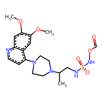 COc1cc2nccc(N3CCN(C(C)CNS(=O)(=O)NOC=O)CC3)c2cc1OC